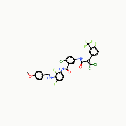 COc1ccc(CNc2c(F)ccc(NC(=O)c3cc(NC(=O)C4C(c5ccc(F)c(C(F)(F)F)c5)C4(Cl)Cl)ccc3Cl)c2F)cc1